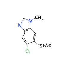 CSc1cc2c(cc1Cl)ncn2C